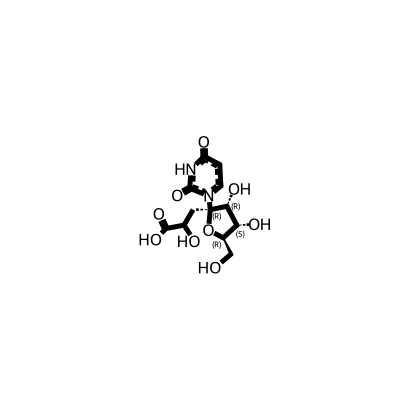 O=C(O)C(O)C[C@@]1(n2ccc(=O)[nH]c2=O)O[C@H](CO)[C@@H](O)[C@H]1O